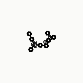 c1ccc(-c2ccc(-c3nc(-c4ccccc4)nc(-c4ccc(-c5cccc6c5oc5cc7c(cc56)c5ccccc5n7-c5ccccc5)cc4)n3)cc2)cc1